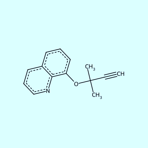 C#CC(C)(C)Oc1cccc2cccnc12